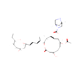 CC[C@H](O)[C@@H](C)[C@H]1O[C@@H]1C[C@@](C)(O)/C=C/C=C(\C)[C@H]1OC(=O)C[C@H](O)CC[C@@](C)(OC(C)=O)[C@@H](OC(=O)N2C[C@H]3C[C@@H]2CN3)/C=C/[C@@H]1C